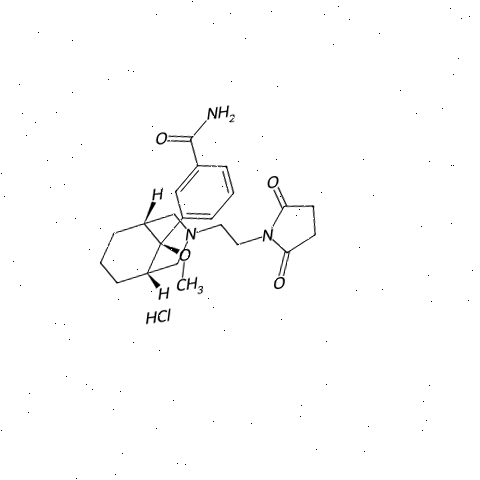 CO[C@]1(c2cccc(C(N)=O)c2)[C@@H]2CCC[C@H]1CN(CCN1C(=O)CCC1=O)C2.Cl